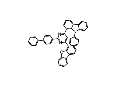 c1ccc(-c2ccc(-c3nc(-c4cccc5c4oc4ccccc45)cc(-c4cccc5c6ccccc6n(-c6ccccc6)c45)n3)cc2)cc1